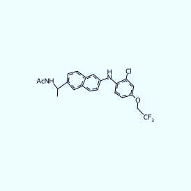 CC(=O)NC(C)c1ccc2cc(Nc3ccc(OCC(F)(F)F)cc3Cl)ccc2c1